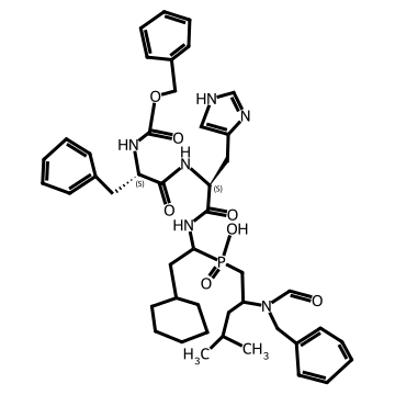 CC(C)CC(CP(=O)(O)C(CC1CCCCC1)NC(=O)[C@H](Cc1c[nH]cn1)NC(=O)[C@H](Cc1ccccc1)NC(=O)OCc1ccccc1)N(C=O)Cc1ccccc1